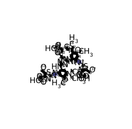 CCN(CC)c1cc(Nc2nc(Nc3cc(N(CC)CC)c(OC)cc3/N=N/c3nc(S(=O)(=O)O)c(C=O)s3)nc(SCCS(=O)(=O)O)n2)c(/N=N/c2nc(S(=O)(=O)O)c(C=O)s2)cc1OC